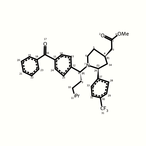 COC(=O)C[C@@H]1CCN([C@H](CCC(C)C)c2ccc(C(=O)c3ccccc3)cc2)[C@H](c2ccc(C(F)(F)F)cc2)C1